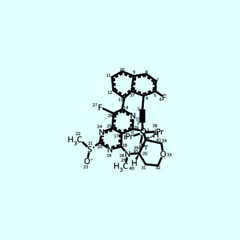 CC(C)[Si](C#Cc1c(F)ccc2cccc(-c3nc4c5c(nc([S+](C)[O-])nc5c3F)N(C)[C@H]3CCOC[C@@H]3O4)c12)(C(C)C)C(C)C